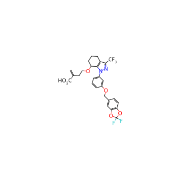 C=C(CCOC1CCCc2c(C(F)(F)F)nn(-c3cccc(OCc4ccc5c(c4)OC(F)(F)O5)c3)c21)C(=O)O